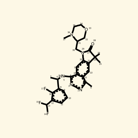 Cc1nnc(NC(C)c2cccc(C(F)F)c2F)c2cc3c(cc12)C(C)(C)C(=O)N3CC1COCCN1C